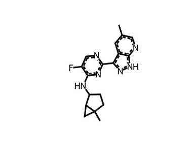 Cc1cnc2[nH]nc(-c3ncc(F)c(NC4CCC5(C)CC45)n3)c2c1